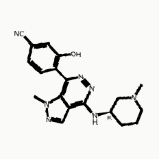 CN1CCC[C@@H](Nc2nnc(-c3ccc(C#N)cc3O)c3c2cnn3C)C1